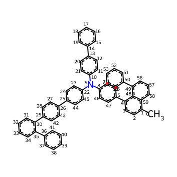 Cc1ccc(-c2ccc(N(c3ccc(-c4ccccc4)cc3)c3ccc(-c4ccc(-c5ccccc5-c5ccccc5)cc4)cc3)cc2)c2c(-c3ccccc3)cccc12